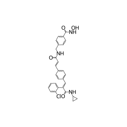 O=C(C=Cc1ccc(/C=C(/C(=O)NC2CC2)c2ccccc2Cl)cc1)NCc1ccc(C(=O)NO)cc1